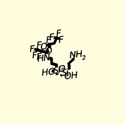 C[Si](O)(CCCN)O[Si](C)(O)CCCNC(=O)C(F)(OC(F)(F)CC(F)(F)F)C(F)(F)F